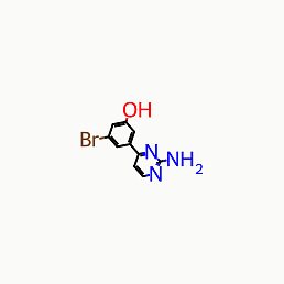 Nc1nccc(-c2cc(O)cc(Br)c2)n1